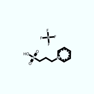 F[B-](F)(F)F.O=S(=O)(O)CCC[n+]1ccccc1